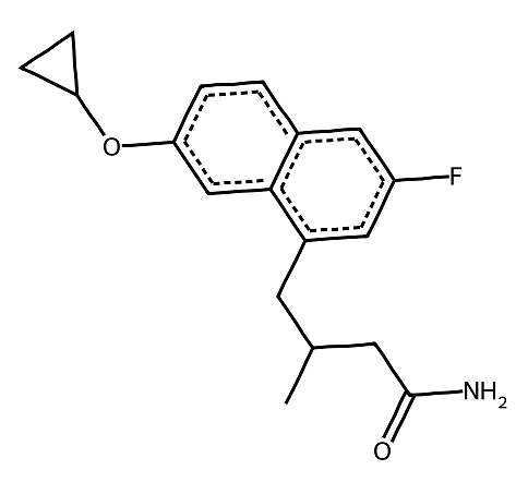 CC(CC(N)=O)Cc1cc(F)cc2ccc(OC3CC3)cc12